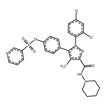 Cc1c(C(=O)NN2CCCCC2)nn(-c2ccc(Cl)cc2Cl)c1-c1ccc(OS(=O)(=O)c2cccnc2)cc1